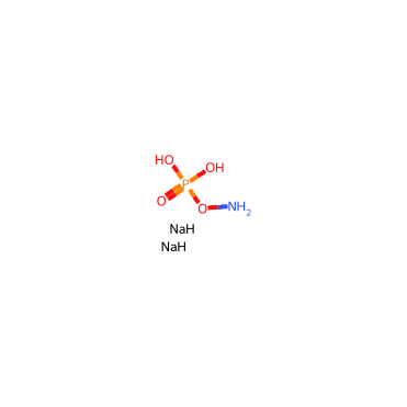 NOP(=O)(O)O.[NaH].[NaH]